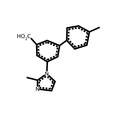 Cc1ccc(-c2cc(C(=O)O)cc(-n3ccnc3C)c2)cc1